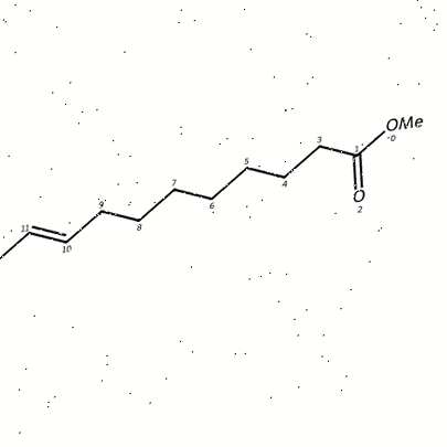 COC(=O)CCCCCCCC=CI